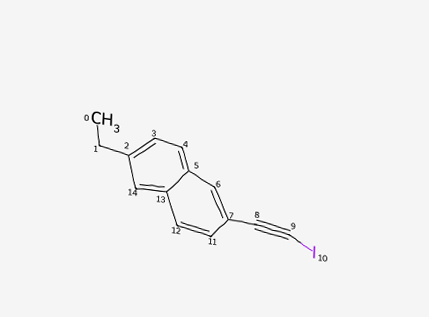 CCc1ccc2cc(C#CI)ccc2c1